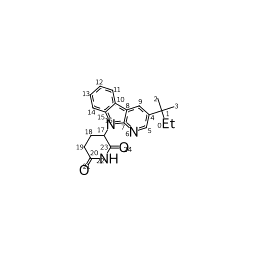 CCC(C)(C)c1cnc2c(c1)c1ccccc1n2C1CCC(=O)NC1=O